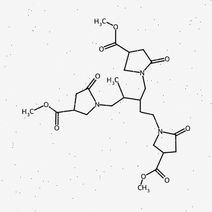 COC(=O)C1CC(=O)N(CCC(CN2CC(C(=O)OC)CC2=O)C(C)CN2CC(C(=O)OC)CC2=O)C1